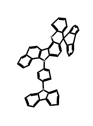 c1ccc2c(c1)Sc1c(ccc3c1c1ccc4ccccc4c1n3-c1ccc(-n3c4ccccc4c4ccccc43)cc1)C21c2ccccc2-c2ccccc21